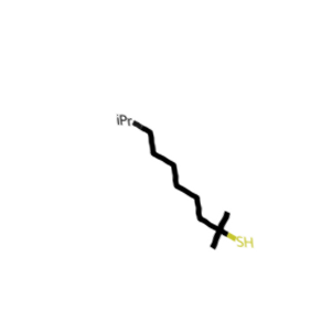 CC(C)CCCCCCC(C)(C)S